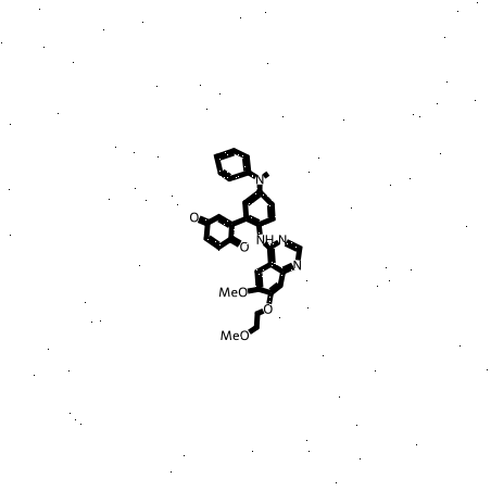 COCCOc1cc2ncnc(Nc3ccc(N(C)c4ccccc4)cc3C3=CC(=O)C=CC3=O)c2cc1OC